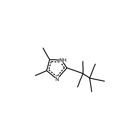 Cc1nc(C(C)(C)C(C)(C)C)[nH]c1C